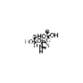 O=S(=O)(O)O.O=S(=O)(O)O.c1c[nH]cn1